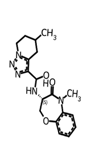 CC1CCn2nnc(C(O)N[C@H]3COc4ccccc4N(C)C3=O)c2C1